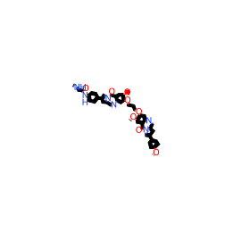 CNCC(=O)Nc1ccc(C2=CN3C(=O)c4cc(OC)c(OCCCOc5cc6c(cc5OC)C(=O)N5C=C(c7ccc(OC)cc7)CC5C=N6)cc4N=CC3C2)cc1